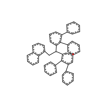 c1ccc(-c2cccc([C](Cc3cccc4ccccc34)c3cccc(-c4ccccc4)c3-c3ccccc3)c2-c2ccccc2)cc1